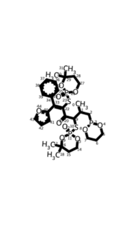 CC(CP1OCCCO1)C(SP1(=O)OCCC(C)(C)O1)C(=O)C(SP1(=O)OCCC(C)(C)O1)=C(c1ccccc1)c1ccco1